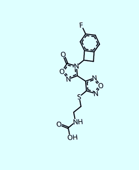 O=C(O)NCCSc1nonc1-c1noc(=O)n1C1Cc2ccc(F)cc21